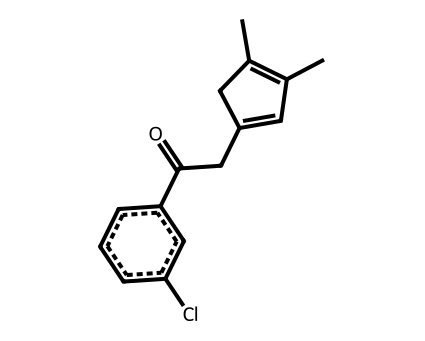 CC1=C(C)CC(CC(=O)c2cccc(Cl)c2)=C1